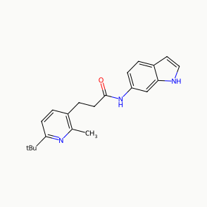 Cc1nc(C(C)(C)C)ccc1CCC(=O)Nc1ccc2cc[nH]c2c1